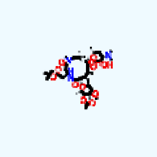 CO[C@]1(C)C[C@H](C[C@H]2[C@H](C)[C@@H](O[C@@H]3O[C@H](C)C[C@H](N(C)C)[C@H]3O)[C@](C)(O)C[C@@H](C)CN(C)C(=O)C[C@H](CC(=O)OC(C)(C)C)NC(=O)[C@@H]2C)O[C@@H](C)[C@@H]1OC(C)=O